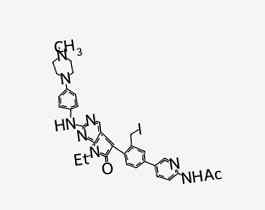 CCn1c(=O)c(-c2ccc(-c3ccc(NC(C)=O)nc3)cc2CI)cc2cnc(Nc3ccc(N4CCN(C)CC4)cc3)nc21